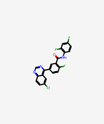 O=C(Nc1ccc(F)cc1F)c1cc(-c2ncnc3ccc(Cl)cc23)ccc1F